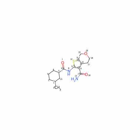 CC1CCCC(C(=O)Nc2sc3c(c2C(N)=O)CCOC3)C1